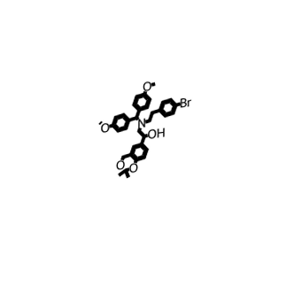 COc1ccc(C(c2ccc(OC)cc2)N(CCc2ccc(Br)cc2)CC(O)c2ccc3c(c2)COC(C)(C)O3)cc1